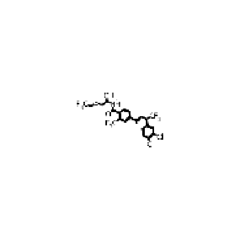 CC(CSCC(F)(F)F)NC(=O)c1ccc(/C(F)=C/C(c2ccc(Cl)c(Cl)c2)C(F)(F)F)cc1C(F)(F)F